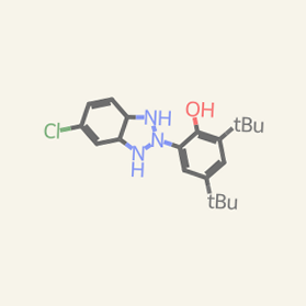 CC(C)(C)c1cc(N2NC3C=CC(Cl)=CC3N2)c(O)c(C(C)(C)C)c1